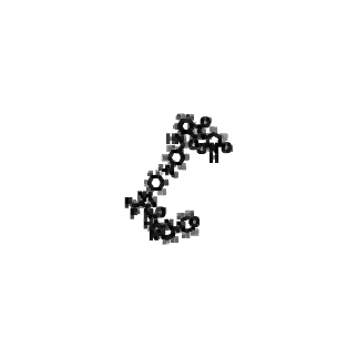 CN(C[C@H]1CC[C@H](C2N=C(NC(=O)c3cnn4ccc(N5CCOCC5)nc34)C(C(F)F)=N2)CC1)C1CCC(CNc2cccc3c2C(=O)N(C2CCC(=O)NC2=O)C3=O)CC1